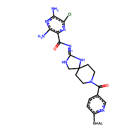 CC(=O)Nc1ccc(C(=O)N2CCC3(CC2)CN/C(=N\C(=O)c2nc(Cl)c(N)nc2N)N3)cn1